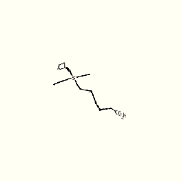 CS(C)(Cl)CCCC(=O)O